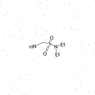 CCN(CC)S(=O)(=O)C[NH]